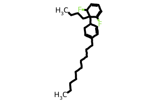 CCCCCCCCCCC1=CCC(C2(CCCC)C(F)=CC=CC2F)C=C1